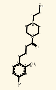 CC(=O)c1ccc(CCCC(=O)N2CCN(CCC(C)(C)C)CC2)c(C)c1